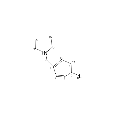 [Li][c]1ccc(CN(CC)CC)cc1